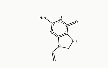 C=CN1CNc2c1nc(N)[nH]c2=O